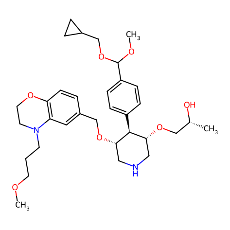 COCCCN1CCOc2ccc(CO[C@H]3CNC[C@@H](OC[C@@H](C)O)[C@@H]3c3ccc(C(OC)OCC4CC4)cc3)cc21